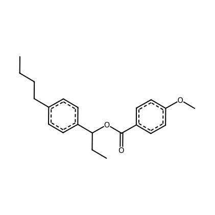 CCCCc1ccc(C(CC)OC(=O)c2ccc(OC)cc2)cc1